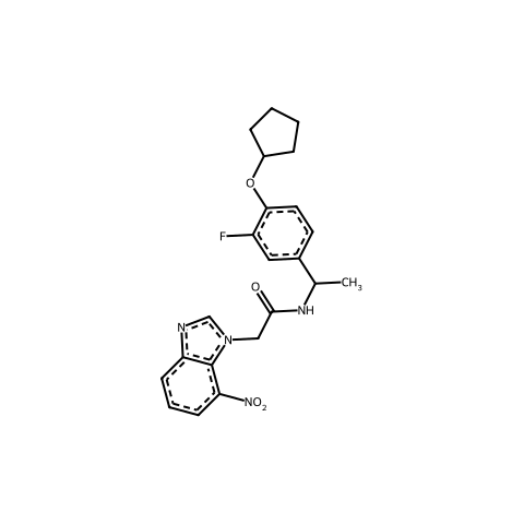 CC(NC(=O)Cn1cnc2cccc([N+](=O)[O-])c21)c1ccc(OC2CCCC2)c(F)c1